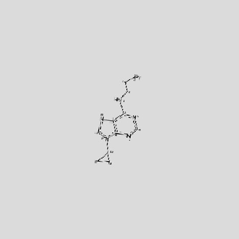 CC(C)CCNc1ncnc2c1ncn2C1CC1